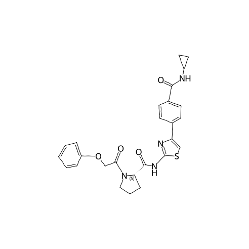 O=C(NC1CC1)c1ccc(-c2csc(NC(=O)[C@@H]3CCCN3C(=O)COc3ccccc3)n2)cc1